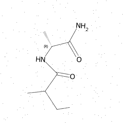 CCC(C)C(=O)N[C@H](C)C(N)=O